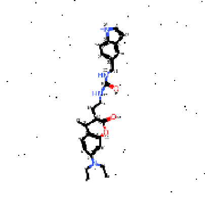 CCN(CC)c1ccc2c(c1)OC(=O)C(CCNC(=O)NCc1ccc3[nH]ccc3c1)C2C